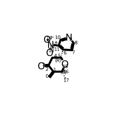 C=C1C(=O)C[C@H](c2ccncc2[N+](=O)[O-])O[C@@H]1C